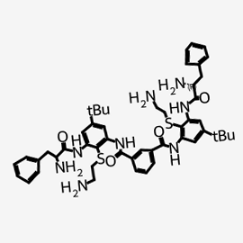 CC(C)(C)c1cc(NC(=O)c2cccc(C(=O)Nc3cc(C(C)(C)C)cc(NC(=O)[C@H](N)Cc4ccccc4)c3SCCN)c2)c(SCCN)c(NC(=O)C(N)Cc2ccccc2)c1